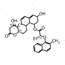 CC[C@H](Oc1c(C)ccc2ccccc12)C(=O)OC1CC(O)C=C2C=CC(C)C(CC[C@@H]3C[C@@H](O)CC(=O)O3)C21